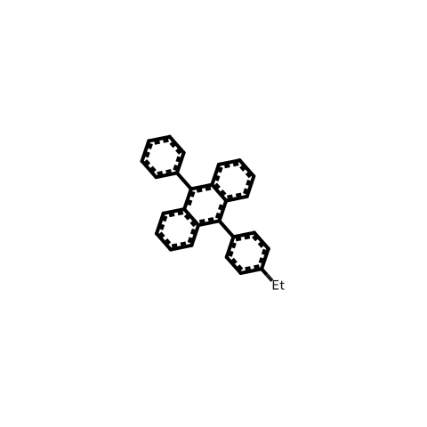 CCc1ccc(-c2c3ccccc3c(-c3ccccc3)c3ccccc23)cc1